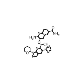 CC(Oc1cc2cc(C(N)=O)ccc2nc1N)c1nc2c(cnn2[C@@H]2CCCCO2)cc1-n1cccn1